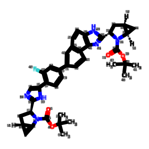 CC(C)(C)OC(=O)N1C2=C[C@@H]2C[C@H]1c1ncc(-c2ccc(-c3ccc4c(ccc5[nH]c([C@@H]6C[C@H]7C[C@H]7N6C(=O)OC(C)(C)C)nc54)c3)cc2F)[nH]1